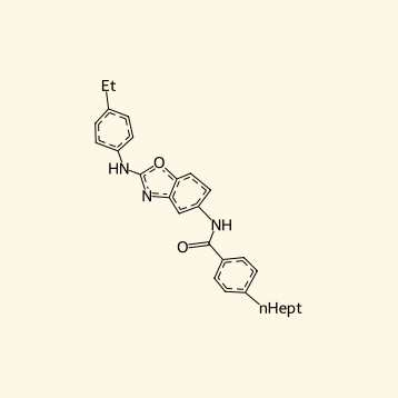 CCCCCCCc1ccc(C(=O)Nc2ccc3oc(Nc4ccc(CC)cc4)nc3c2)cc1